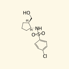 O=S(=O)(N[C@@H]1CCC[C@H]1CO)c1ccc(Cl)cc1